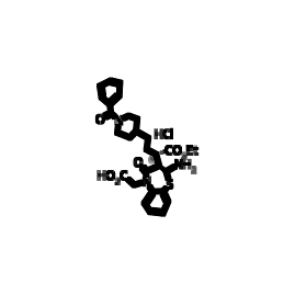 CCOC(=O)[C@@H](CCC1CCN(C(=O)c2ccccc2)CC1)[C@@H]1C(=O)N(CC(=O)O)c2ccccc2SC1N.Cl